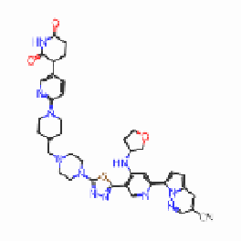 N#Cc1cnn2c(-c3cc(N[C@H]4CCOC4)c(-c4nnc(N5CCN(CC6CCN(c7ccc([C@@H]8CCC(=O)NC8=O)cn7)CC6)CC5)s4)cn3)ccc2c1